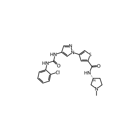 CN1CC[C@@H](NC(=O)c2cc(-n3cc(NC(=O)Nc4ccccc4Cl)cn3)cs2)C1